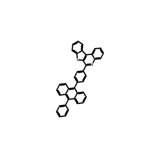 c1ccc(-c2c3ccccc3c(-c3ccc(-c4nc5ccccc5c5c4sc4ccccc45)cc3)c3ccccc23)cc1